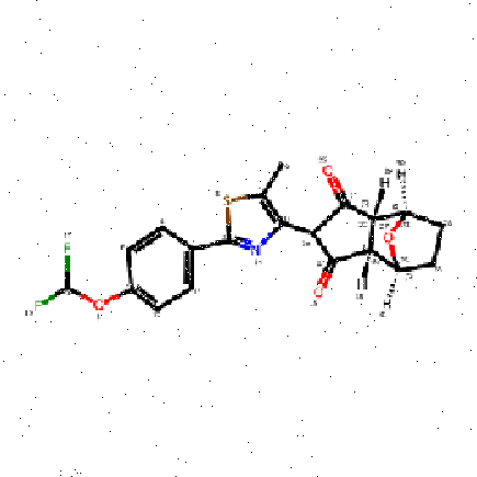 Cc1sc(-c2ccc(OC(F)F)cc2)nc1C1C(=O)[C@@H]2[C@H](C1=O)[C@H]1CC[C@@H]2O1